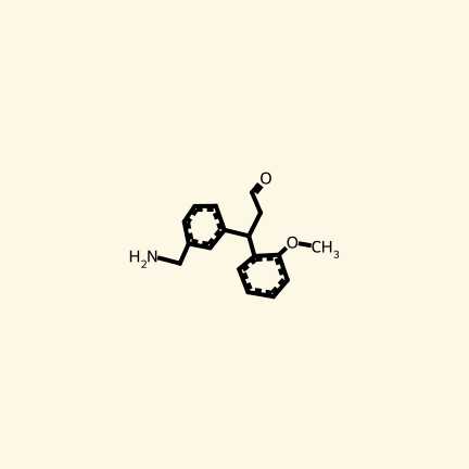 COc1ccccc1C(CC=O)c1cccc(CN)c1